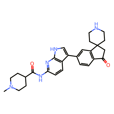 CN1CCC(C(=O)Nc2ccc3c(-c4ccc5c(c4)C4(CCNCC4)CC5=O)c[nH]c3n2)CC1